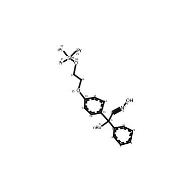 CCCCC(C#[N+]O)(c1ccccc1)c1ccc(OCCO[Si](C(C)C)(C(C)C)C(C)C)cc1